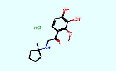 COc1c(C(=O)CNC2(C)CCCC2)ccc(O)c1O.Cl